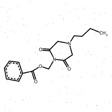 CCCCN1CC(=O)N(COC(=O)c2ccccc2)C(=O)C1